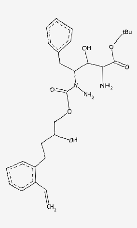 C=Cc1ccccc1CCC(O)COC(=O)N(N)C(Cc1ccccc1)C(O)C(N)C(=O)OC(C)(C)C